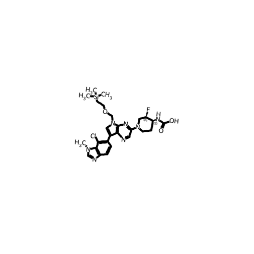 Cn1cnc2ccc(-c3cn(COCC[Si](C)(C)C)c4nc(N5CC[C@H](NC(=O)O)[C@H](F)C5)cnc34)c(Cl)c21